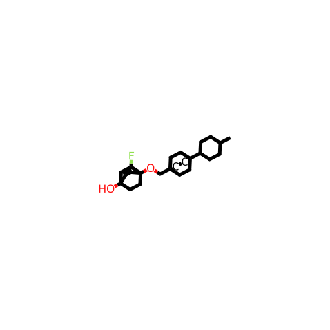 CC1CCC(C23CCC(COC45CCC(O)(C=C4F)CC5)(CC2)CC3)CC1